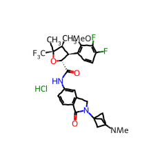 CNC12CC(N3Cc4cc(NC(=O)[C@@H]5O[C@@](C)(C(F)(F)F)[C@@H](C)[C@H]5c5ccc(F)c(F)c5OC)ccc4C3=O)(C1)C2.Cl